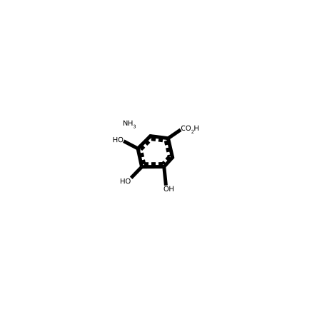 N.O=C(O)c1cc(O)c(O)c(O)c1